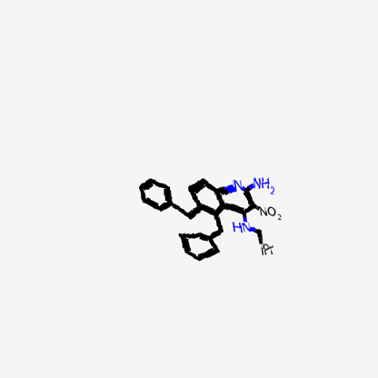 CC(C)CNc1c([N+](=O)[O-])c(N)nc2ccc(Cc3ccccc3)c(Cc3ccccc3)c12